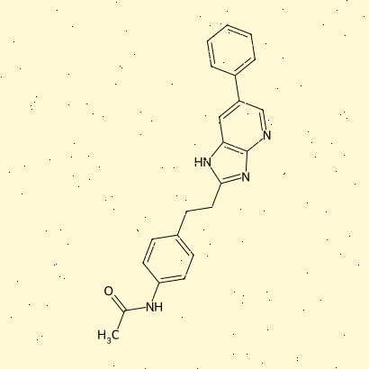 CC(=O)Nc1ccc(CCc2nc3ncc(-c4ccccc4)cc3[nH]2)cc1